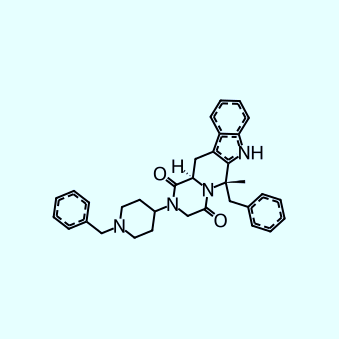 C[C@]1(Cc2ccccc2)c2[nH]c3ccccc3c2C[C@@H]2C(=O)N(C3CCN(Cc4ccccc4)CC3)CC(=O)N21